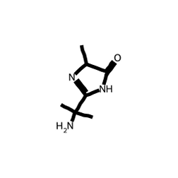 CC1N=C(C(C)(C)N)NC1=O